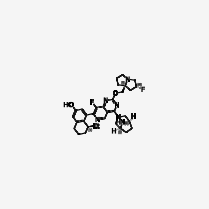 CC[C@H]1CCCc2cc(O)cc(-c3ncc4c(N5C[C@H]6CC[C@@H](C5)N6)nc(OC[C@@]56CCCN5C[C@H](F)C6)nc4c3F)c21